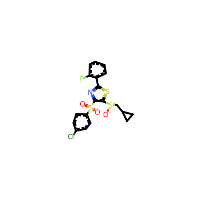 O=S(=O)(c1ccc(Cl)cc1)c1nc(-c2ccccc2F)sc1[S+]([O-])CC1CC1